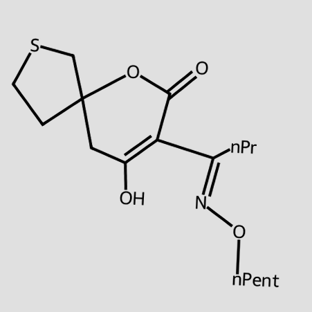 CCCCCO/N=C(\CCC)C1=C(O)CC2(CCSC2)OC1=O